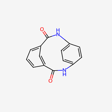 O=C1Nc2ccc(cc2)NC(=O)c2cccc1c2